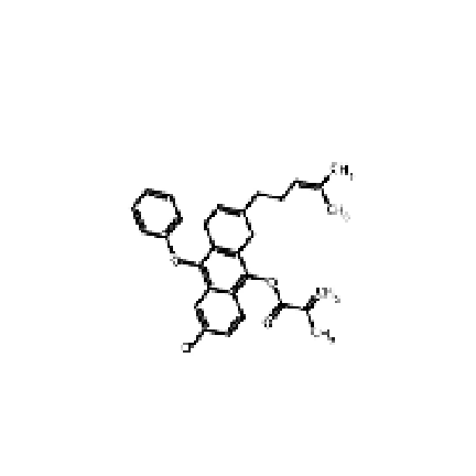 C=C(C)C(=O)Oc1c2c(c(Oc3ccccc3)c3cc(Cl)ccc13)CC=C(CCC=C(C)C)C2